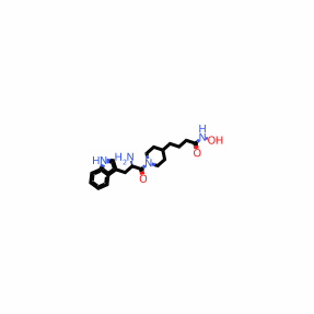 N[C@H](Cc1c[nH]c2ccccc12)C(=O)N1CCC(CCCC(=O)NO)CC1